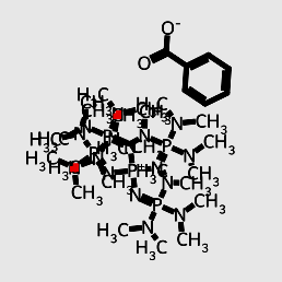 CN(C)P(=N[P+](N=P(N(C)C)(N(C)C)N(C)C)(N=P(N(C)C)(N(C)C)N(C)C)N=P(N(C)C)(N(C)C)N(C)C)(N(C)C)N(C)C.O=C([O-])c1ccccc1